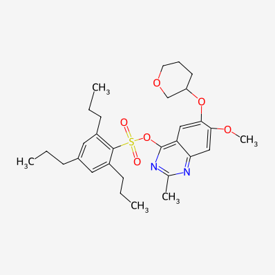 CCCc1cc(CCC)c(S(=O)(=O)Oc2nc(C)nc3cc(OC)c(OC4CCCOC4)cc23)c(CCC)c1